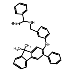 CC1(C)c2ccccc2-c2cc(-c3ccccc3)c(Nc3cccc(CNC(N=N)c4ccccc4)c3)cc21